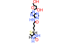 O=C(CCCC[C@@H]1SC[C@@H]2NC(=O)N[C@@H]21)Nc1ncnc2c1ncn2[C@@H]1OC(CO)CC1O